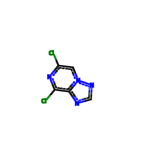 Clc1cn2ncnc2c(Cl)n1